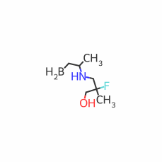 BCC(C)NCC(C)(F)CO